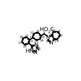 O=C(O)c1cccc2ncn(Cc3ccc(-c4ccccc4-c4nnn[nH]4)cc3)c12